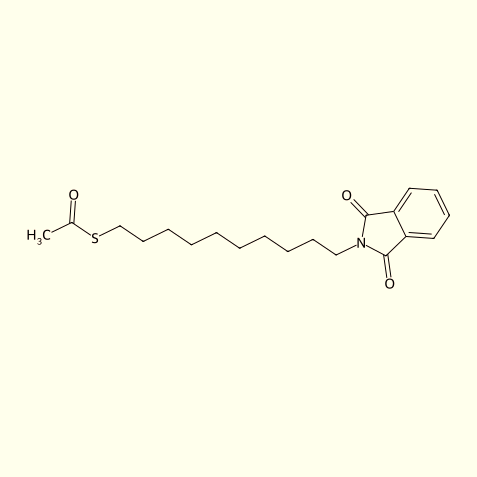 CC(=O)SCCCCCCCCCCN1C(=O)c2ccccc2C1=O